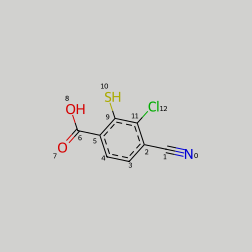 N#Cc1ccc(C(=O)O)c(S)c1Cl